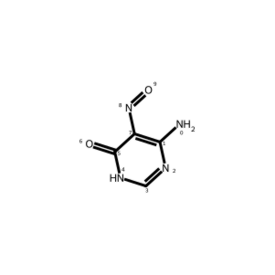 Nc1nc[nH]c(=O)c1N=O